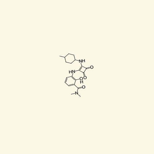 CC1CCC(Nc2c(Nc3cccc(C(=O)N(C)C)c3O)c(=O)c2=O)CC1